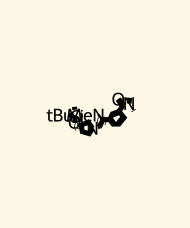 CN[C@H](CN1CC[C@H](O[Si](C)(C)C(C)(C)C)C1)c1cccc(C(=O)N(C)C)c1